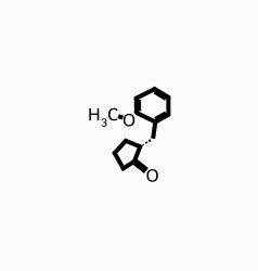 COc1ccccc1C[C@H]1CCCC1=O